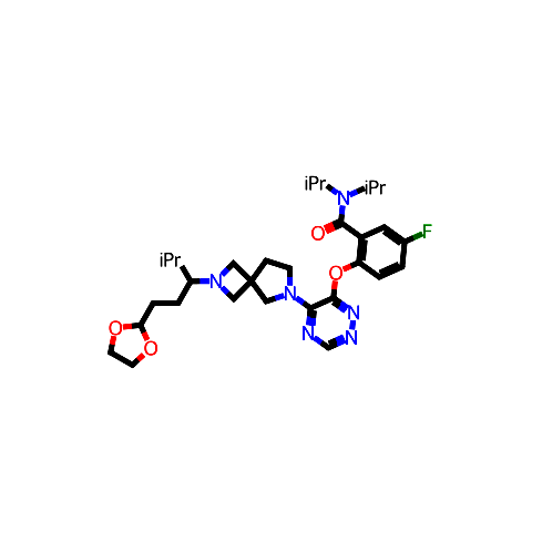 CC(C)C(CCC1OCCO1)N1CC2(CCN(c3ncnnc3Oc3ccc(F)cc3C(=O)N(C(C)C)C(C)C)C2)C1